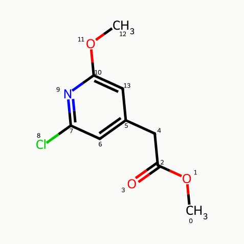 COC(=O)Cc1cc(Cl)nc(OC)c1